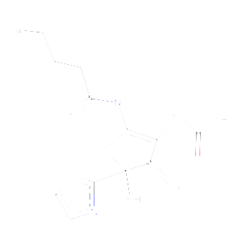 CC(=O)OC1=C(NC(=O)CCCBr)OC(C)(c2nccs2)C1=O